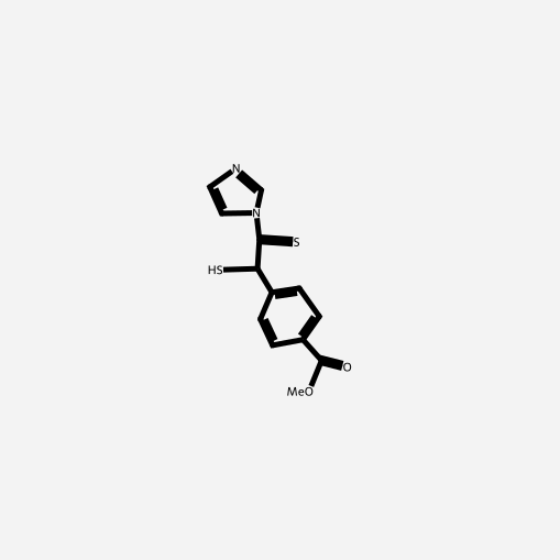 COC(=O)c1ccc(C(S)C(=S)n2ccnc2)cc1